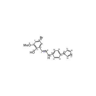 COc1cc(Br)cc(/C=N/Nc2ccc(-n3ccnc3)cc2)c1O